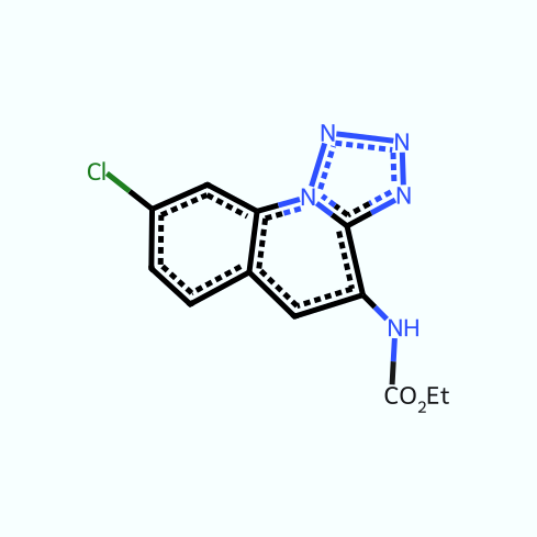 CCOC(=O)Nc1cc2ccc(Cl)cc2n2nnnc12